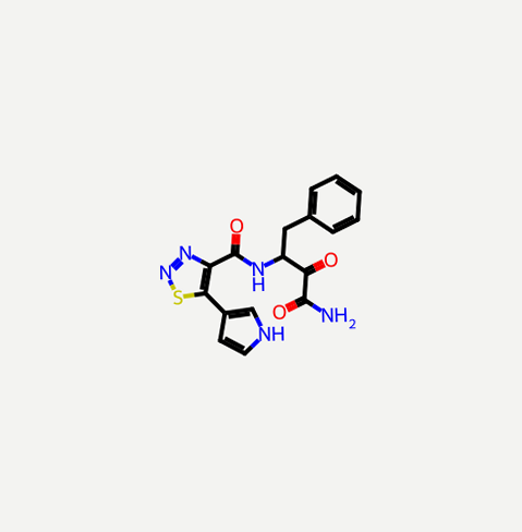 NC(=O)C(=O)C(Cc1ccccc1)NC(=O)c1nnsc1-c1cc[nH]c1